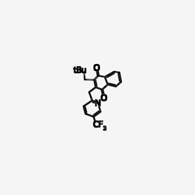 CC(C)(C)CC1=C(Cc2ccc(C(F)(F)F)cn2)C(=O)c2ccccc2C1=O